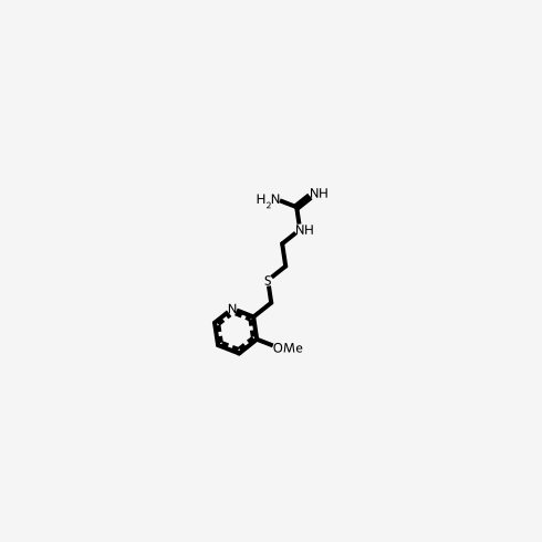 COc1cccnc1CSCCNC(=N)N